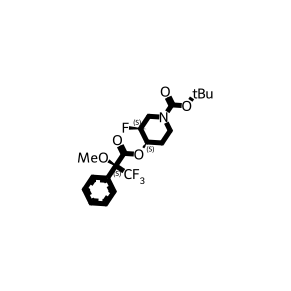 CO[C@](C(=O)O[C@H]1CCN(C(=O)OC(C)(C)C)C[C@@H]1F)(c1ccccc1)C(F)(F)F